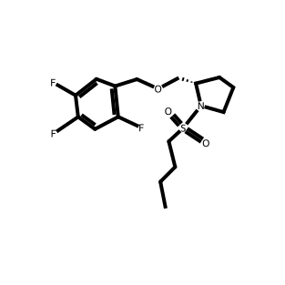 CCCCS(=O)(=O)N1CCC[C@H]1COCc1cc(F)c(F)cc1F